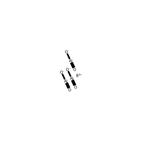 [B+3].[O]=[Al][O-].[O]=[Al][O-].[O]=[Al][O-]